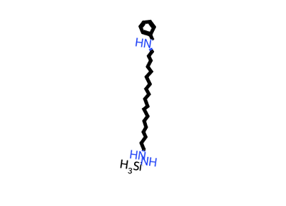 [SiH3]NNCCCCCCCCCCCCCCCCCCCNCc1ccccc1